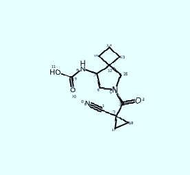 N#CC1(C(=O)N2CC(NC(=O)O)C3(CCC3)C2)CC1